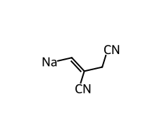 N#CCC(C#N)=[CH][Na]